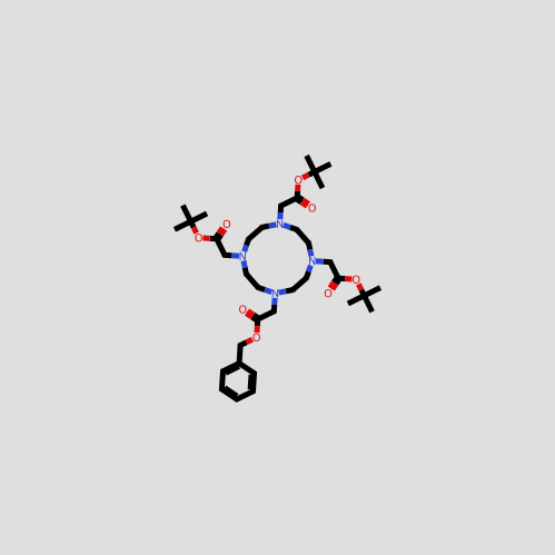 CC(C)(C)OC(=O)CN1CCN(CC(=O)OCc2ccccc2)CCN(CC(=O)OC(C)(C)C)CCN(CC(=O)OC(C)(C)C)CC1